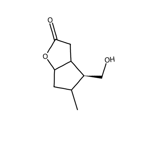 CC1CC2OC(=O)CC2[C@H]1CO